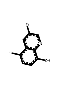 CCc1cnc2c(O)ccc(Cl)c2c1